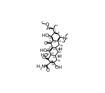 CON=C(C)c1cc(N(C)C)c2c(c1O)C(=O)C1=C(O)[C@]3(O)C(=O)C(C(N)=O)=C(O)C[C@@H]3C[C@@H]1C2